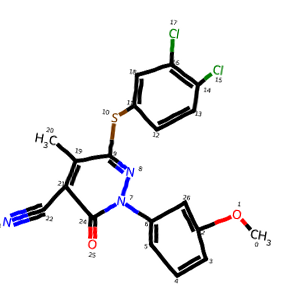 COc1cccc(-n2nc(Sc3ccc(Cl)c(Cl)c3)c(C)c(C#N)c2=O)c1